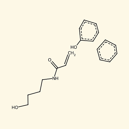 C=CC(=O)NCCCCO.Oc1ccccc1.c1ccccc1